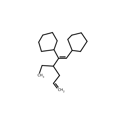 C=CC[C](CC)C(=CC1CCCCC1)C1CCCCC1